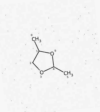 CC1COC(C)O1